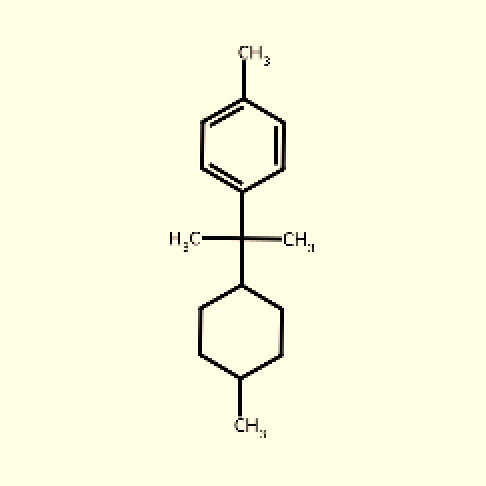 Cc1ccc(C(C)(C)C2CCC(C)CC2)cc1